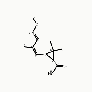 CON=CC(C)=C[C@@H]1[C@@H](C(=O)O)C1(C)C